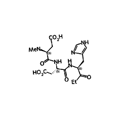 CCC(=O)[C@H](Cc1c[nH]cn1)NC(=O)[C@H](CC(=O)O)NC(=O)[C@H](CC(=O)O)NC